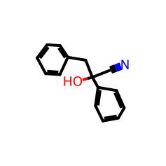 N#CC(O)(Cc1ccccc1)c1ccccc1